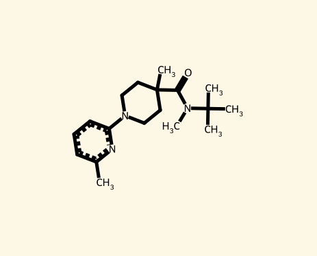 Cc1cccc(N2CCC(C)(C(=O)N(C)C(C)(C)C)CC2)n1